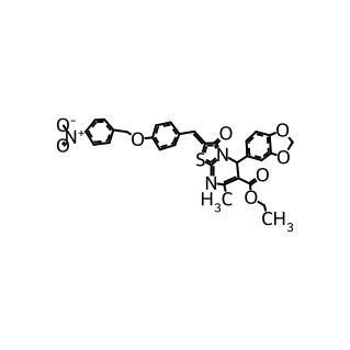 CCOC(=O)C1=C(C)N=c2s/c(=C\c3ccc(OCc4ccc([N+](=O)[O-])cc4)cc3)c(=O)n2C1c1ccc2c(c1)OCO2